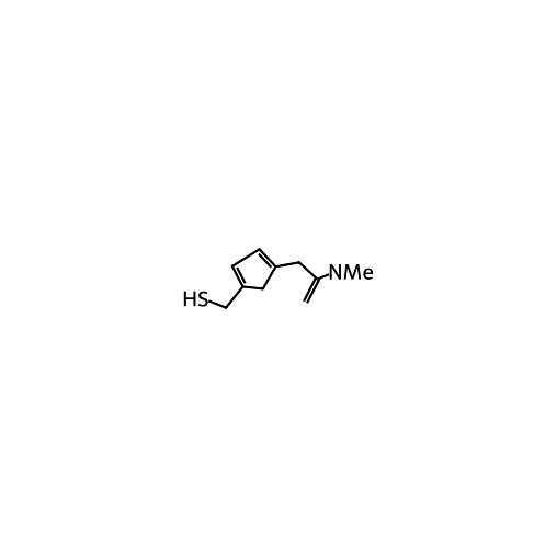 C=C(CC1=CC=C(CS)C1)NC